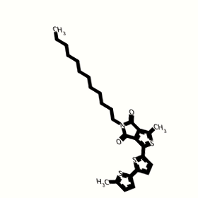 CCCCCCCCCCCCN1C(=O)c2c(C)sc(-c3ccc(-c4ccc(C)s4)s3)c2C1=O